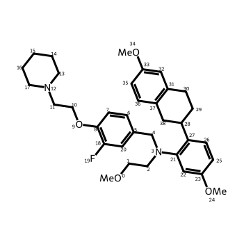 COCCN(Cc1ccc(OCCN2CCCCC2)c(F)c1)c1cc(OC)ccc1C1CCc2cc(OC)ccc2C1